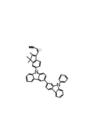 C#C/C=C\C1=C(C)C(C)(C)c2cc(-n3c4ccccc4c4cc(-c5ccc6c7ccccc7n(-c7ccccc7)c6c5)ccc43)ccc21